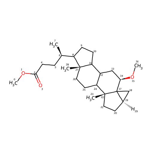 COC(=O)CC[C@@H](C)C1CCC2C3C[C@@H](OC)C45C[C@H]4CC[C@]5(C)C3CC[C@@]21C